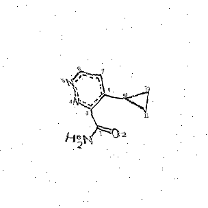 NC(=O)c1nnccc1C1CC1